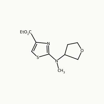 CCOC(=O)c1csc(N(C)C2CCOC2)n1